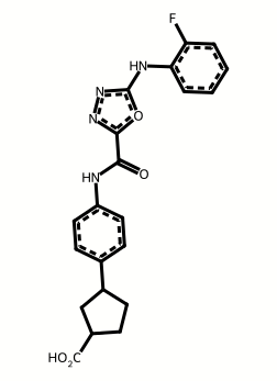 O=C(Nc1ccc(C2CCC(C(=O)O)C2)cc1)c1nnc(Nc2ccccc2F)o1